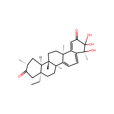 CC[C@@]12CC[C@]3(C)C4=CC=C5C(=CC(=O)C(O)(O)[C@@]5(C)O)[C@]4(C)CC[C@@]3(C)[C@@H]1C[C@@H](C)C(=O)C2